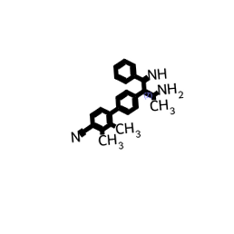 C/C(N)=C(/C(=N)c1ccccc1)c1ccc(-c2ccc(C#N)c(C)c2C)cc1